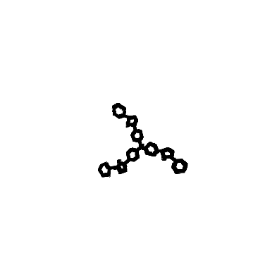 C1=CC(c2ccc(-c3ccc(N(c4ccc(-c5ccc(C6=CCCC=C6)s5)cc4)c4ccc(-c5ccc(-c6ccccc6)s5)cc4)cc3)s2)=CCC1